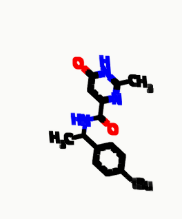 Cc1nc(C(=O)NC(C)c2ccc(C(C)(C)C)cc2)cc(=O)[nH]1